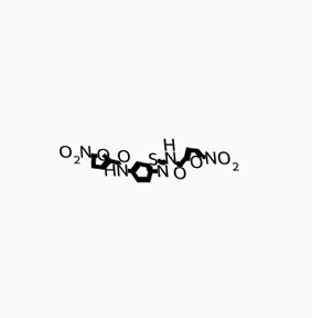 O=C(Nc1ccc2nc(NC(=O)c3ccc([N+](=O)[O-])o3)sc2c1)C1=CCC([N+](=O)[O-])O1